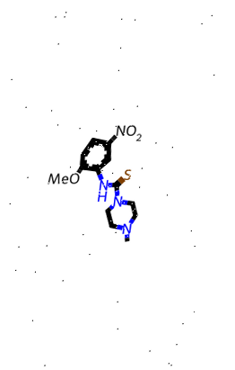 COc1ccc([N+](=O)[O-])cc1NC(=S)N1CCN(C)CC1